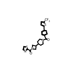 O=C(c1ccc(-c2ccc(C(F)(F)F)s2)cc1)N1CCC(C2CN(C(=O)c3nccs3)C2)CC1